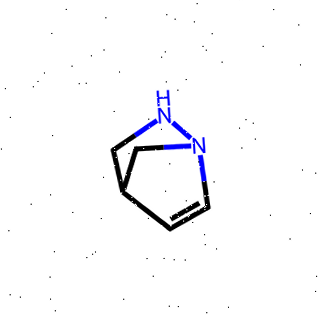 C1=CN2CC1CN2